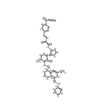 CNC(=O)c1ccc(/C=C/C(=O)NCc2cccn2-c2ccc(Cl)c(COc3cccc4c(OCc5ccccn5)cc(C)nc34)c2Cl)cc1